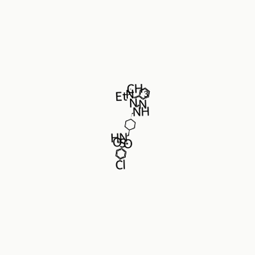 CCN(C)c1nc(NC[C@H]2CC[C@H](CNS(=O)(=O)c3ccc(Cl)cc3)CC2)nc2ccccc12